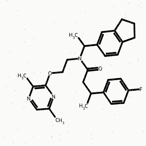 Cc1cnc(C)c(OCCN(C(=O)CC(C)c2ccc(F)cc2)C(C)c2ccc3c(c2)CCC3)n1